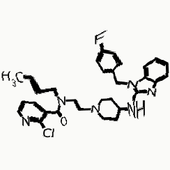 C/C=C/CN(CCN1CCC(Nc2nc3ccccc3n2Cc2ccc(F)cc2)CC1)C(=O)c1cccnc1Cl